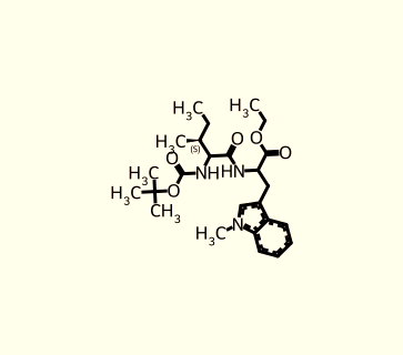 CCOC(=O)C(Cc1cn(C)c2ccccc12)NC(=O)C(NC(=O)OC(C)(C)C)[C@@H](C)CC